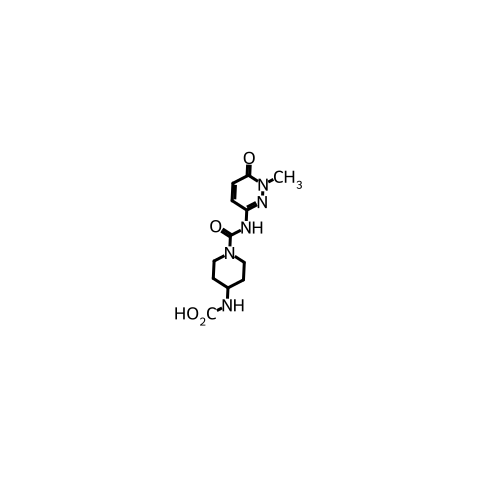 Cn1nc(NC(=O)N2CCC(NC(=O)O)CC2)ccc1=O